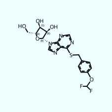 OC[C@H]1O[C@@H](n2cnc3c(SCc4ccc(OC(F)F)cc4)ncnc32)[C@H](O)[C@@H]1O